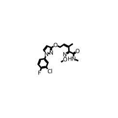 CNC(=O)C(=NOC)C(C)=CCOc1ccn(-c2ccc(F)c(Cl)c2)n1